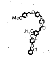 COc1ccc(CCOc2ccc(CN3CCN(C(=O)C=Cc4cc(C)c(Oc5ccc(OCc6ccccc6Cl)cn5)c(Cl)c4)CC3)cc2)cc1